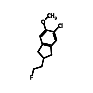 COc1cc2c(cc1Cl)CC(CCF)C2